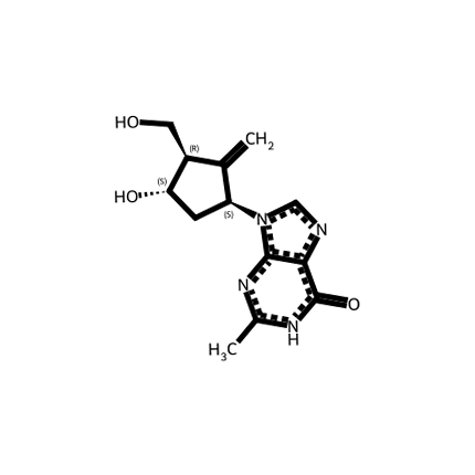 C=C1[C@H](CO)[C@@H](O)C[C@@H]1n1cnc2c(=O)[nH]c(C)nc21